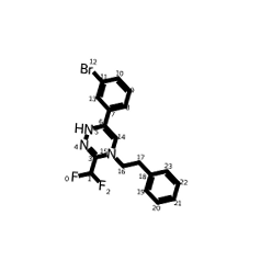 FC(F)C1=NNC(c2cccc(Br)c2)=CN1CCc1ccccc1